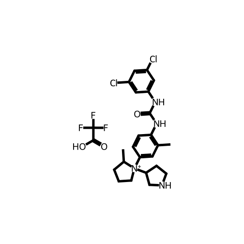 Cc1cc([N+]2(C3CCNC3)CCCC2C)ccc1NC(=O)Nc1cc(Cl)cc(Cl)c1.O=C(O)C(F)(F)F